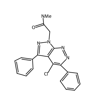 CNC(=O)Cn1nc(-c2ccccc2)c2c(Cl)c(-c3ccccc3)nnc21